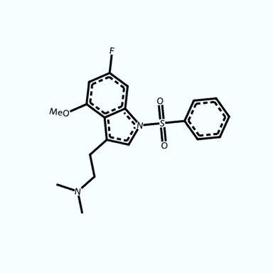 COc1cc(F)cc2c1c(CCN(C)C)cn2S(=O)(=O)c1ccccc1